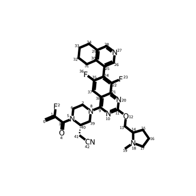 C=C(F)C(=O)N1CCN(c2nc(OCC3CCCN3C)nc3c(F)c(-c4cncc5c4CCCC5)c(F)cc23)C[C@@H]1CC#N